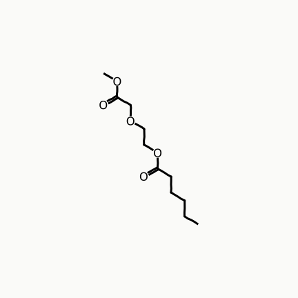 CCCCCC(=O)OCCOCC(=O)OC